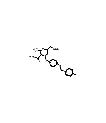 COCC1CN(Sc2ccc(OCc3ccc(F)cc3)cc2)C(C(=O)OC)C(C)O1